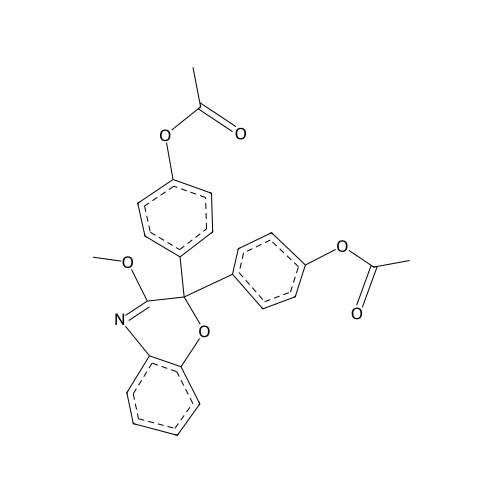 COC1=Nc2ccccc2OC1(c1ccc(OC(C)=O)cc1)c1ccc(OC(C)=O)cc1